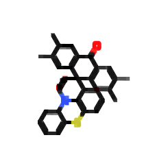 Cc1cc2c(cc1C)C1(c3cc(C)c(C)cc3C2=O)c2ccccc2N2c3ccccc3Sc3cccc1c32